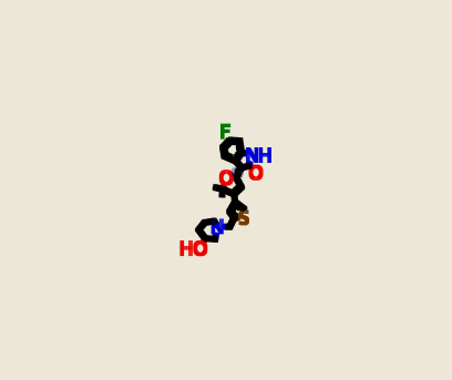 CC1(C)O/C(=C2/C(=O)Nc3cc(F)ccc32)C=C1c1csc(CN2CCCC(O)C2)c1